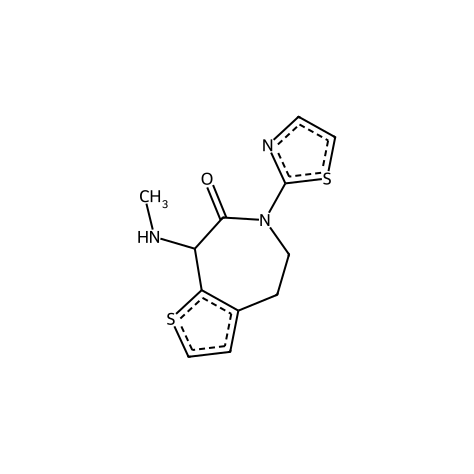 CNC1C(=O)N(c2nccs2)CCc2ccsc21